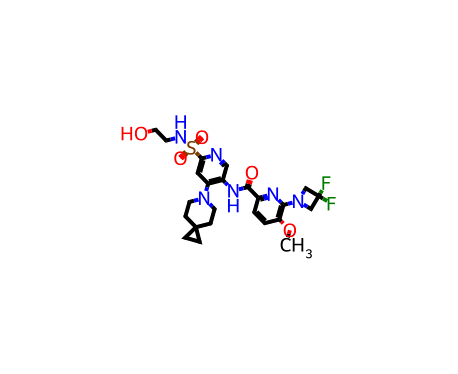 COc1ccc(C(=O)Nc2cnc(S(=O)(=O)NCCO)cc2N2CCC3(CC2)CC3)nc1N1CC(F)(F)C1